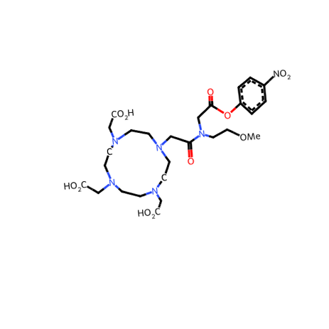 COCCN(CC(=O)Oc1ccc([N+](=O)[O-])cc1)C(=O)CN1CCN(CC(=O)O)CCN(CC(=O)O)CCN(CC(=O)O)CC1